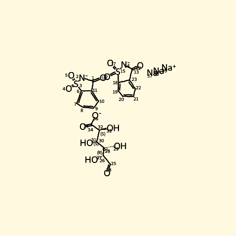 O=C1[N-]S(=O)(=O)c2ccccc21.O=C1[N-]S(=O)(=O)c2ccccc21.O=C[C@H](O)[C@@H](O)[C@H](O)[C@H](O)C(=O)[O-].[Na+].[Na+].[Na+]